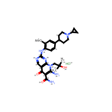 COc1cc(C2CCN(C3CC3)CC2)ccc1Nc1ncc2c(=O)c(C(N)=O)c(N)n(CC(C)(C)O)c2n1.Cl